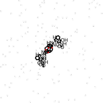 COC(=O)N[C@@H]1C(=O)N2[C@H](c3nc4cc(-c5cc6ccc5CCc5ccc(c(-c7ccc8[nH]c([C@@H]9C[C@@H]%10CCCC%11[C@@H](O)[C@H](NC(=O)OC)C(=O)N9[C@@H]%11%10)nc8c7)c5)CC6)ccc4[nH]3)C[C@@H]3CCCC([C@H]1O)[C@@H]32